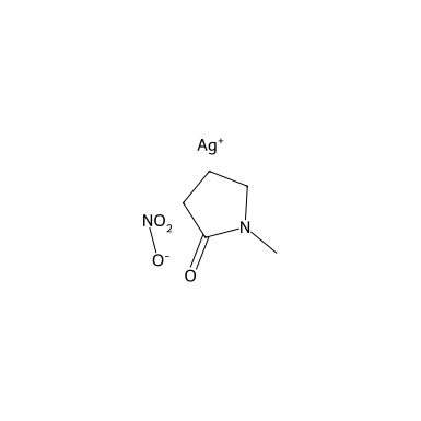 CN1CCCC1=O.O=[N+]([O-])[O-].[Ag+]